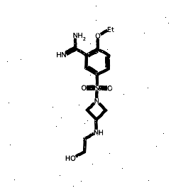 CCOc1ccc(S(=O)(=O)N2CC(NCCO)C2)cc1C(=N)N